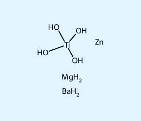 [BaH2].[MgH2].[OH][Ti]([OH])([OH])[OH].[Zn]